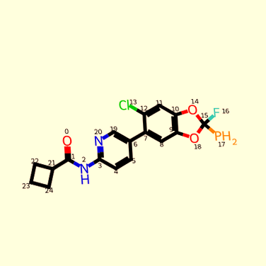 O=C(Nc1ccc(-c2cc3c(cc2Cl)OC(F)(P)O3)cn1)C1CCC1